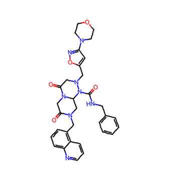 O=C1CN2C(=O)CN(Cc3cc(N4CCOCC4)no3)N(C(=O)NCc3ccccc3)C2CN1Cc1cccc2ncccc12